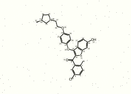 Cc1ccc(Cl)cc1C(=O)c1sc2cc(O)ccc2c1Oc1ccc(OCCN2CC[C@H](C)C2)cc1